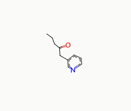 CCCC(=O)Cc1cccnc1